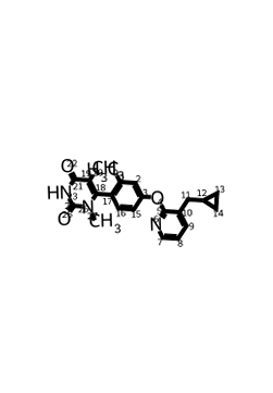 Cc1cc(Oc2ncccc2CC2CC2)ccc1-c1c(C)c(=O)[nH]c(=O)n1C